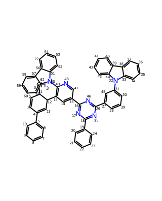 CC1C=CC(c2ccccc2)=CC1c1cc(-c2nc(-c3ccccc3)nc(-c3cccc(-n4c5ccccc5c5ccccc54)c3)n2)cnc1-n1c2ccccc2c2ccccc21